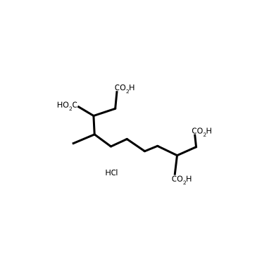 CC(CCCCC(CC(=O)O)C(=O)O)C(CC(=O)O)C(=O)O.Cl